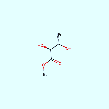 CCOC(=O)[C@@H](O)[C@@H](O)C(C)C